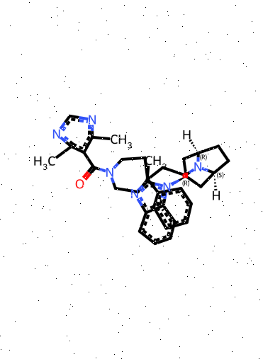 Cc1ncnc(C)c1C(=O)N1CCC(CCN2[C@@H]3CC[C@H]2C[C@@H](n2c(C)nc4ccccc42)C3)(c2ccccc2)CC1